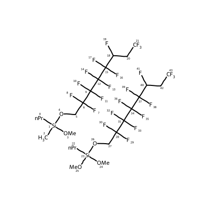 CCC[Si](C)(OC)OCC(F)(F)C(F)(F)C(F)(F)C(F)(F)C(F)CC(F)(F)F.CCC[Si](OC)(OC)OCC(F)(F)C(F)(F)C(F)(F)C(F)(F)C(F)CC(F)(F)F